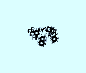 Cc1cc(Nc2cc(OCCN3CCC4(CC3)CCN(Cc3ccccc3)C4=O)cc(C(F)(F)F)c2)c2ccccc2n1